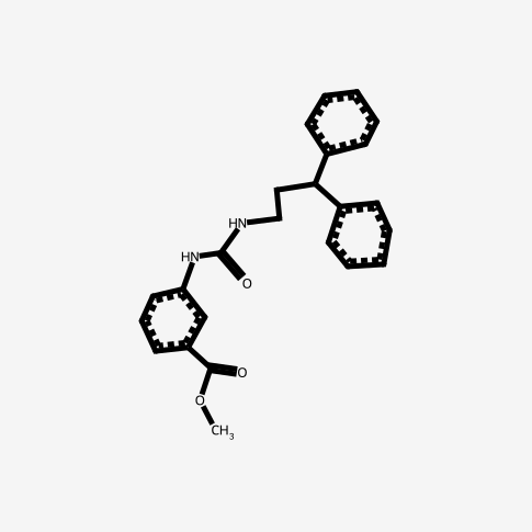 COC(=O)c1cccc(NC(=O)NCCC(c2ccccc2)c2ccccc2)c1